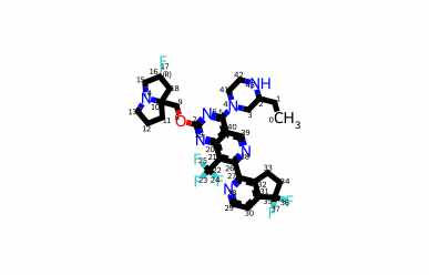 CCC1CN(c2nc(OCC34CCCN3C[C@H](F)C4)nc3c(C(F)(F)F)c(-c4nccc5c4CCC5(F)F)ncc23)CCN1